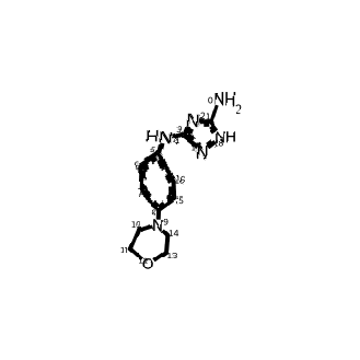 Nc1nc(Nc2ccc(N3CCOCC3)cc2)n[nH]1